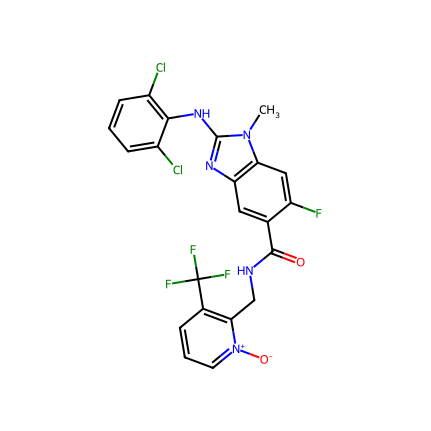 Cn1c(Nc2c(Cl)cccc2Cl)nc2cc(C(=O)NCc3c(C(F)(F)F)ccc[n+]3[O-])c(F)cc21